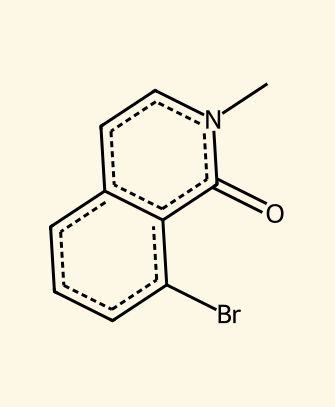 Cn1ccc2cccc(Br)c2c1=O